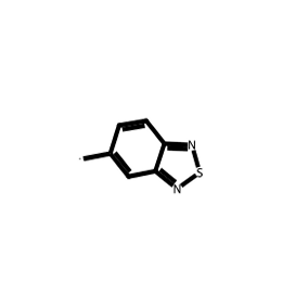 [CH2]c1ccc2nsnc2c1